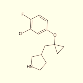 Fc1ccc(OC2(CC3CCNC3)CC2)cc1Cl